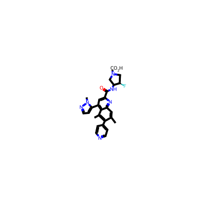 Cc1cc2nc(C(=O)NC3CN(C(=O)O)C[C@H]3F)cc(-c3ccnn3C)c2c(C)c1-c1ccncc1